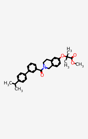 COC(=O)C(C)(C)Oc1ccc2c(c1)CCN(C(=O)c1cccc(-c3ccc(C(C)C)cc3)c1)C2